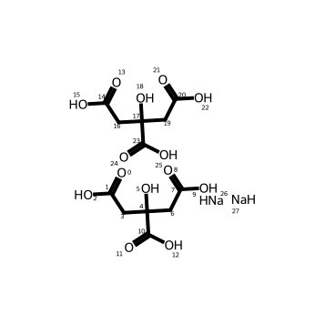 O=C(O)CC(O)(CC(=O)O)C(=O)O.O=C(O)CC(O)(CC(=O)O)C(=O)O.[NaH].[NaH]